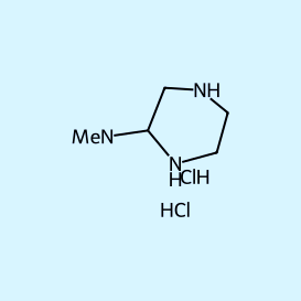 CNC1CNCCN1.Cl.Cl